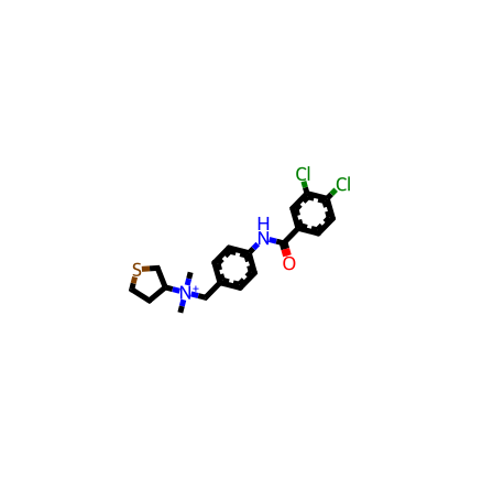 C[N+](C)(Cc1ccc(NC(=O)c2ccc(Cl)c(Cl)c2)cc1)C1CCSC1